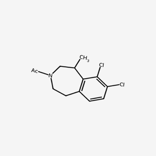 CC(=O)N1CCc2ccc(Cl)c(Cl)c2C(C)C1